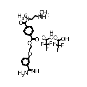 CNCCN(C)C(=O)c1ccc(C(=O)OCCOc2cccc(C(=N)N)c2)cc1.O=C(O)C(F)(F)F.O=C(O)C(F)(F)F